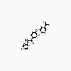 CC(=O)c1cccc(Sc2ccc(C(=O)NC3CC4CC3CN4)cc2)c1